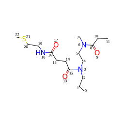 CCCN(CCN(C)C(=O)CC)C(=O)CCC(=O)NCCSC